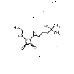 CCNc1c(NCCCC(C)(C)C)c(=O)c1=O